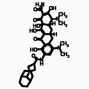 CN(C)c1cc(NC(=O)C2CN(C3C4CCCC3CCC4)C2)c(O)c2c1C[C@H]1C[C@H]3[C@H](N(C)C)C(O)=C(C(N)=O)C(=O)[C@@]3(O)C(O)=C1C2=O